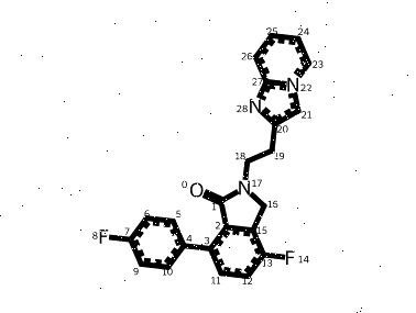 O=C1c2c(-c3ccc(F)cc3)ccc(F)c2CN1CCc1cn2ccccc2n1